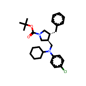 CC(C)(C)OC(=O)N1C[C@H](CN(c2ccc(Cl)cc2)C2CCCCC2)[C@@H](Cc2ccccc2)C1